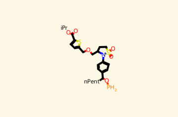 CCCCCC(OP)c1ccc(N2C(COCc3ccc(C(=O)OC(C)C)s3)CCS2(=O)=O)cc1